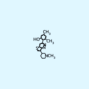 Cc1cc(C)c(-c2cc3scc(C4CCCN(C)C4)c3nn2)c(O)c1